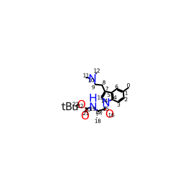 Cc1ccc2c(c1)c(CCN(C)C)cn2C(=O)[C@H](C)NC(=O)OC(C)(C)C